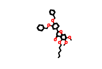 CCCCCCOc1c(OC)c(OC)cc2oc(-c3ccc(OCc4ccccc4)c(OCc4ccccc4)c3)cc(=O)c12